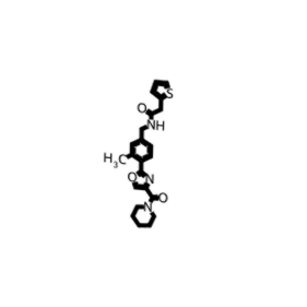 Cc1cc(CNC(=O)Cc2cccs2)ccc1-c1nc(C(=O)N2CCCCC2)co1